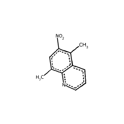 Cc1c([N+](=O)[O-])cc(C)c2ncccc12